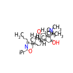 C=CC[C@@H]1N=C(C(C)C)OC[C@@]1(C)[C@@H]1CC[C@@H]2[C@@H](C1)C(=O)C[C@]1(C)[C@@H]([C@H](C)N(C)C)[C@H](O)C[C@@]21C